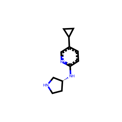 c1cc(N[C@@H]2CCNC2)ncc1C1CC1